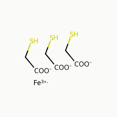 O=C([O-])CS.O=C([O-])CS.O=C([O-])CS.[Fe+3]